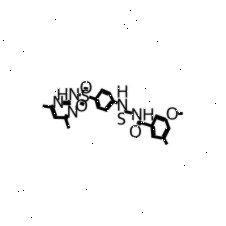 COc1cc(C)cc(C(=O)NC(=S)Nc2ccc(S(=O)(=O)Nc3nc(C)cc(C)n3)cc2)c1